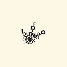 C#CCO[C@H](C)[C@H](NC(=O)[C@H](C)N(C)C(=O)OC(C)(C)C)C(=O)N1CC[C@@H]2[C@H]1[C@@H](Oc1ccc(F)cc1)CN2C(=O)OCc1ccccc1